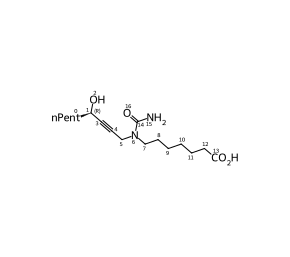 CCCCC[C@@H](O)C#CCN(CCCCCCC(=O)O)C(N)=O